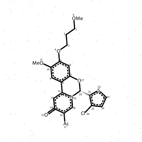 COCCCOc1cc2c(cc1OC)-c1cc(=O)c(C(C)=O)cn1[C@@H](c1sccc1Cl)O2